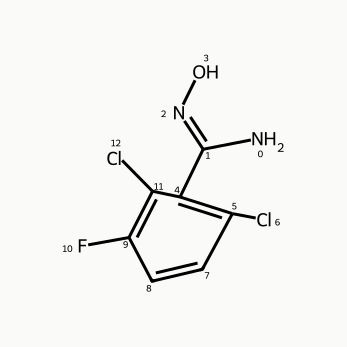 NC(=NO)c1c(Cl)ccc(F)c1Cl